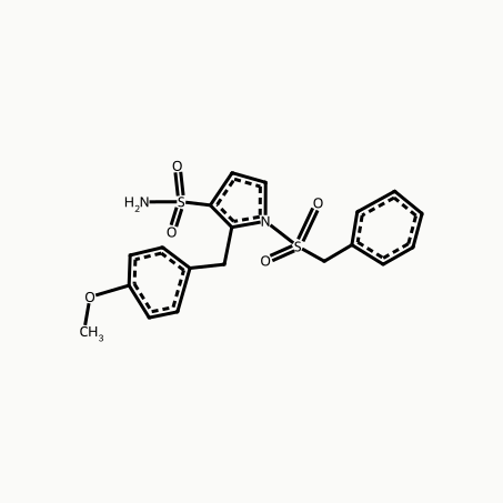 COc1ccc(Cc2c(S(N)(=O)=O)ccn2S(=O)(=O)Cc2ccccc2)cc1